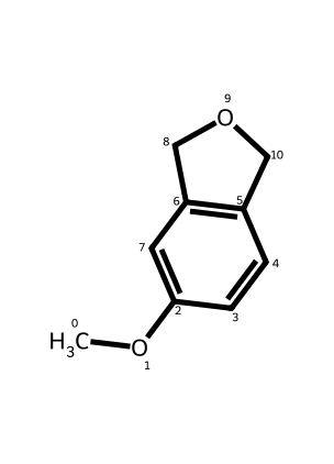 COc1ccc2c(c1)COC2